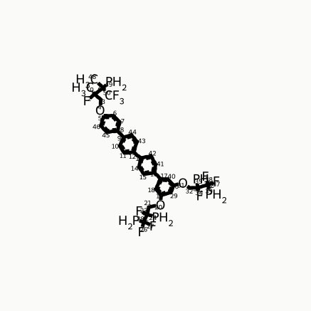 CC(F)(COc1ccc(-c2ccc(-c3ccc(-c4cc(OCC(F)(P)C(F)(F)P)cc(OCC(F)(P)C(F)(F)P)c4)cc3)cc2)cc1)C(C)(P)C(F)(F)F